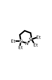 CC[Si]1(CC)CCC[Si](CC)(CC)[N]1